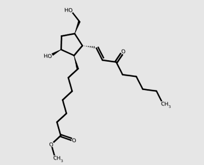 CCCCCC(=O)C=C[C@H]1[C@H](CO)C[C@H](O)[C@@H]1CCCCCCC(=O)OC